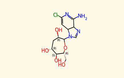 NC1=NC(Cl)=CC2C1N=CN2C1O[C@H](CO)[C@@H](O)[C@H](O)C[C@H]1O